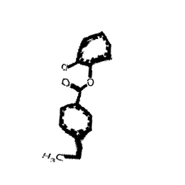 CCc1ccc(C(=O)Oc2ccccc2Cl)cc1